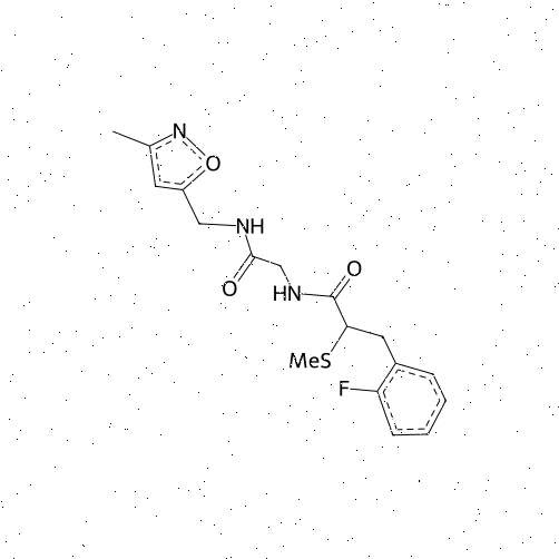 CSC(Cc1ccccc1F)C(=O)NCC(=O)NCc1cc(C)no1